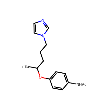 CCCCC(CCCn1ccnc1)Oc1ccc(NC(C)=O)cc1